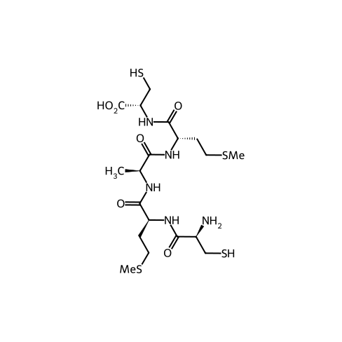 CSCC[C@H](NC(=O)[C@H](C)NC(=O)[C@H](CCSC)NC(=O)[C@@H](N)CS)C(=O)N[C@@H](CS)C(=O)O